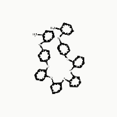 Nc1ccccc1Oc1ccc(Oc2ccccc2Oc2ccccc2Oc2ccccc2Oc2ccccc2Oc2ccc(Oc3ccccc3N)cc2)cc1